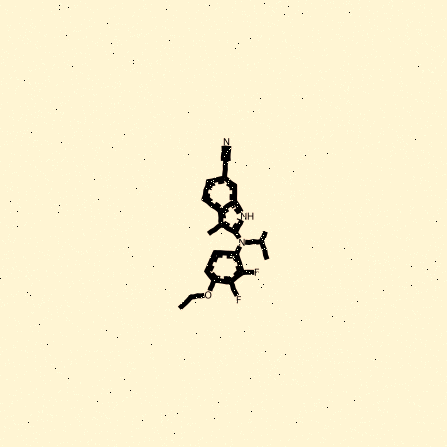 CCOc1ccc(N(c2[nH]c3cc(C#N)ccc3c2C)C(C)C)c(F)c1F